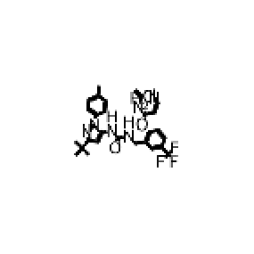 C=C(Cl)/N=C(\C=C/N)Oc1ccc(C(F)(F)F)cc1CNC(=O)Nc1cc(C(C)(C)C)nn1-c1ccc(C)cc1